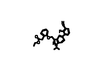 CCOC(=O)Cc1ccccc1OCc1nn(C(C)C)c2ccc(-c3cccc(C#N)c3F)cc12